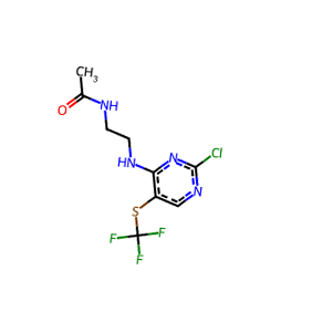 CC(=O)NCCNc1nc(Cl)ncc1SC(F)(F)F